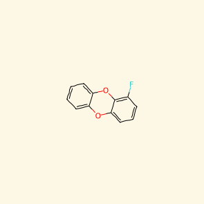 Fc1cccc2c1Oc1ccccc1O2